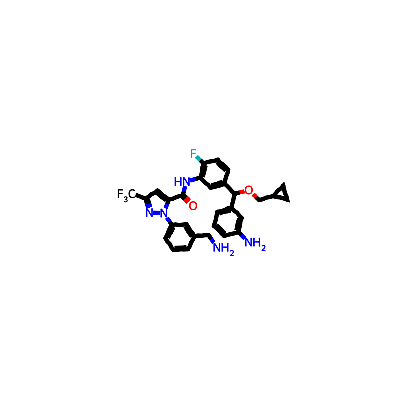 NCc1cccc(-n2nc(C(F)(F)F)cc2C(=O)Nc2cc(C(OCC3CC3)c3cccc(N)c3)ccc2F)c1